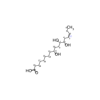 CC/C=C\CC(O)C(O)CCC(O)CCCCCCCC(=O)O